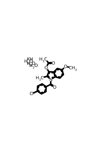 COc1ccc2c(c1)c(OC(C)=O)c(C)n2C(=O)c1ccc(Cl)cc1.O.O.O.[KH]